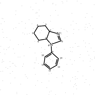 C1=NC2CCCCC2N1c1ccccc1